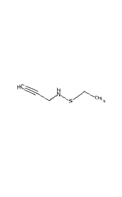 C#CCNSCC